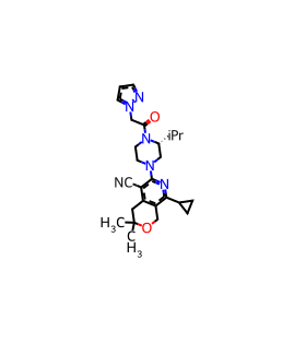 CC(C)[C@@H]1CN(c2nc(C3CC3)c3c(c2C#N)CC(C)(C)OC3)CCN1C(=O)Cn1cccn1